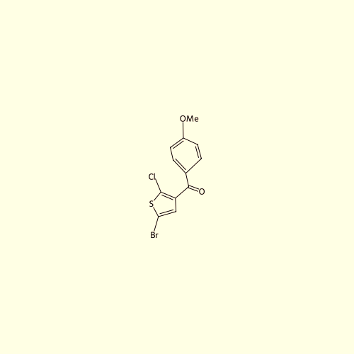 COc1ccc(C(=O)c2cc(Br)sc2Cl)cc1